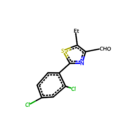 CCc1sc(-c2ccc(Cl)cc2Cl)nc1C=O